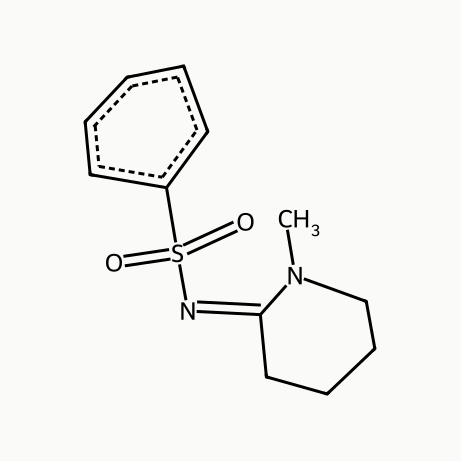 CN1CCCCC1=NS(=O)(=O)c1ccccc1